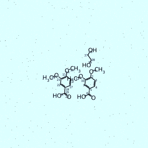 COc1ccc(C(=O)O)cc1OC.COc1ccc(C(=O)O)cc1OC.OCCO